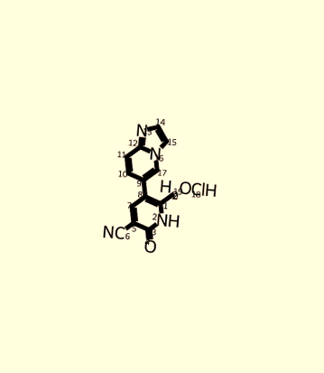 Cc1[nH]c(=O)c(C#N)cc1-c1ccc2nccn2c1.Cl.O